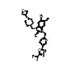 O=c1n(Cc2ccc(-c3nnc(C(F)F)o3)cn2)c2cc(F)c(Br)cc2n1CC1CCN(C2COC2)CC1